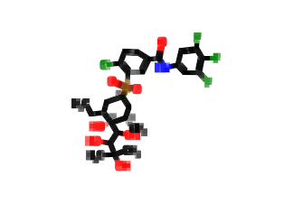 CCC1C[C@@H](S(=O)(=O)c2cc(C(=O)Nc3cc(F)c(F)c(F)c3)ccc2Cl)C[C@H](C)[C@@]1(O)C(O)C(O)C(C)(C)O